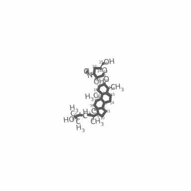 C[C@H](CCCC(C)(C)O)C1CCC2C3CC=C4C(CC[C@H](O[C@@H]5O[C@H](CO)C[C@H](N=O)[C@H]5O)[C@@H]4C)[C@]3(C)CC[C@@]21C